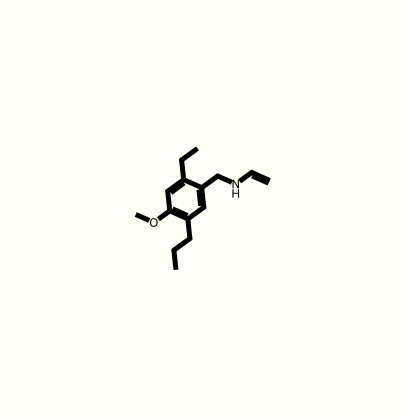 C=CNCc1cc(CCC)c(OC)cc1CC